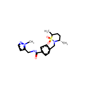 CC1CC[C@H](C)N(Cc2ccc(C(=O)NCc3ccnn3C)cc2)S1(=O)=O